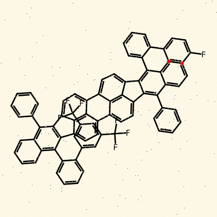 Fc1ccc(-c2ccccc2-c2c3c(c(-c4ccccc4)c4ccccc24)-c2ccc4c5ccc6c7c(ccc(c8ccc-3c2c84)c75)-c2c-6c(-c3ccccc3-c3cc(C(F)(F)F)cc(C(F)(F)F)c3)c3ccccc3c2-c2ccccc2)cc1